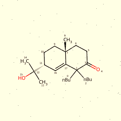 CCCCC1(CCCC)C(=O)CC[C@@]2(C)CC[C@@H](C(C)(C)O)C=C12